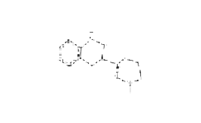 [C]1Nc2ccccc2CC1C1=NNCCC1